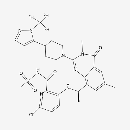 [2H]C([2H])([2H])n1nccc1C1CCN(c2nc3c([C@@H](C)Nc4ccc(Cl)nc4C(=O)NS(C)(=O)=O)cc(C)cc3c(=O)n2C)CC1